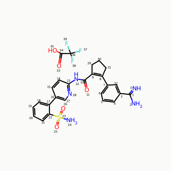 N=C(N)c1cccc(C2=C(C(=O)Nc3ccc(-c4ccccc4S(N)(=O)=O)cn3)CCC2)c1.O=C(O)C(F)(F)F